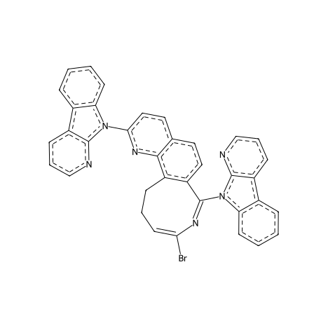 BrC1=C/CCc2c(ccc3ccc(-n4c5ccccc5c5cccnc54)nc23)/C(n2c3ccccc3c3cccnc32)=N\1